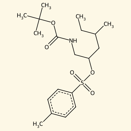 CCC(C)CC(CNC(=O)OC(C)(C)C)OS(=O)(=O)c1ccc(C)cc1